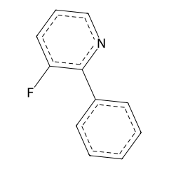 Fc1cccnc1-c1ccccc1